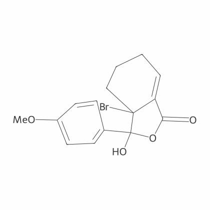 COc1ccc(C2(O)OC(=O)C3=CCCCC32Br)cc1